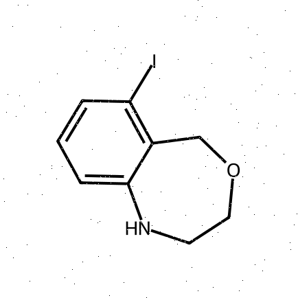 Ic1cccc2c1COCCN2